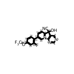 N#CC(O)(c1cncnc1)c1ccc(-c2ccc(OC(F)(F)F)cc2F)cn1